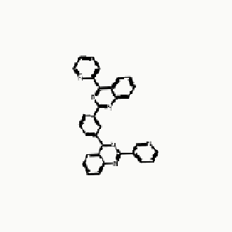 c1ccc(-c2nc(-c3cccc(-c4nc(-c5cccnc5)nc5ccccc45)c3)nc3ccccc23)nc1